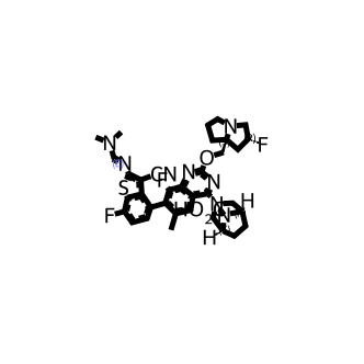 Cc1cc2c(N3C[C@H]4CC[C@@H](C3)N4C(=O)O)nc(OC[C@@]34CCCN3C[C@H](F)C4)nc2c(F)c1-c1ccc(F)c2sc(/N=C/N(C)C)c(C#N)c12